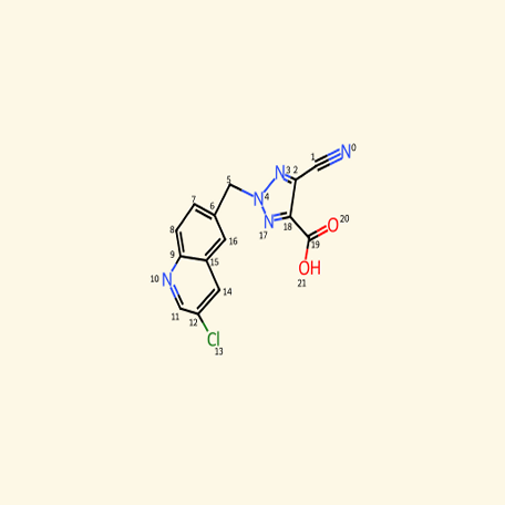 N#Cc1nn(Cc2ccc3ncc(Cl)cc3c2)nc1C(=O)O